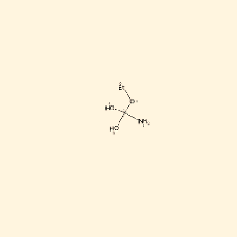 CCOC(N)(O)O